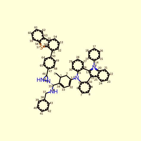 CC1CC(N2c3ccccc3-c3c(n(-c4ccccc4)c4ccccc34)-c3ccccc32)=CC=C1C(NCc1ccccc1)[N@]1NC1c1ccc(-c2cccc3c2sc2ccccc23)cc1